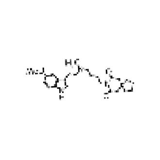 COc1ccc2[nH]cc(CCN(C)CCCCN3C(=O)CC4(CCCC4)CC3=O)c2c1